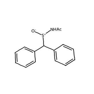 CC(=O)N[S+]([O-])C(c1ccccc1)c1ccccc1